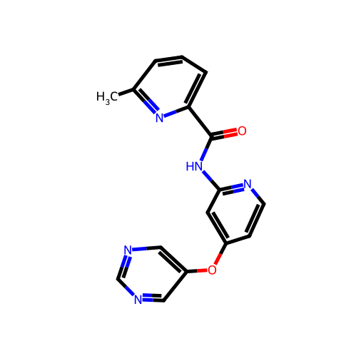 Cc1cccc(C(=O)Nc2cc(Oc3cncnc3)ccn2)n1